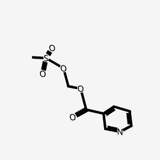 CS(=O)(=O)OCOC(=O)c1cccnc1